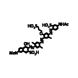 CNc1ccc2c(O)c(N=Nc3cc(C)c(N=Nc4cc(C)c(N=Nc5ccc(NC(C)=O)cc5S(=O)(=O)O)cc4OCCCS(=O)(=O)O)cc3C)c(S(=O)(=O)O)cc2c1